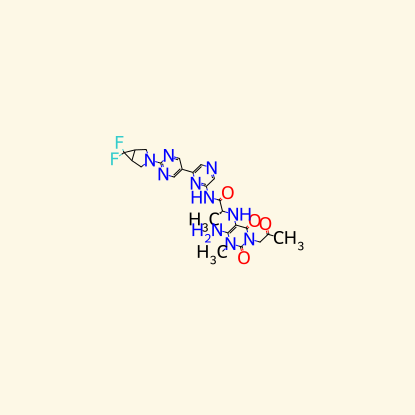 CC(=O)Cn1c(=O)c(N[C@@H](C)C(=O)Nc2cncc(-c3cnc(N4CC5C(C4)C5(F)F)nc3)n2)c(N)n(C)c1=O